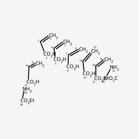 C=CC(=O)O.C=CC(=O)O.C=CC(=O)O.C=CC(=O)O.C=CC(=O)O.C=CC(=O)O.CCOC(N)=O.CCOC(N)=O